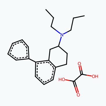 CCCN(CCC)C1CCc2cccc(-c3ccccc3)c2C1.O=C(O)C(=O)O